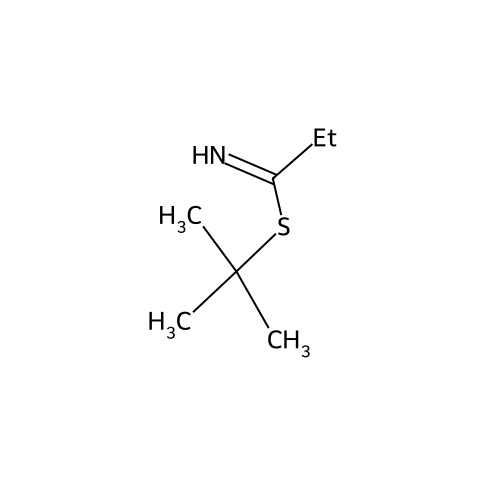 CCC(=N)SC(C)(C)C